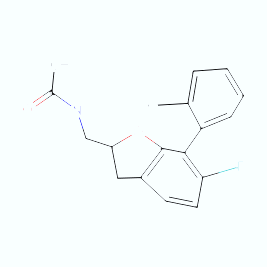 CC(=O)NCC1Cc2ccc(F)c(-c3ccccc3C)c2O1